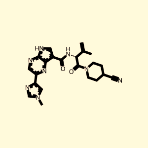 C=C(C)[C@@H](NC(=O)c1c[nH]c2ncc(-c3cn(C)cn3)nc12)C(=O)N1CCC(C#N)CC1